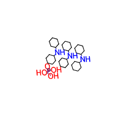 C1CCC(NC2CCCCC2)CC1.C1CCC(NC2CCCCC2)CC1.C1CCC(NC2CCCCC2)CC1.O=P(O)(O)O